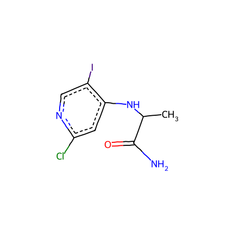 CC(Nc1cc(Cl)ncc1I)C(N)=O